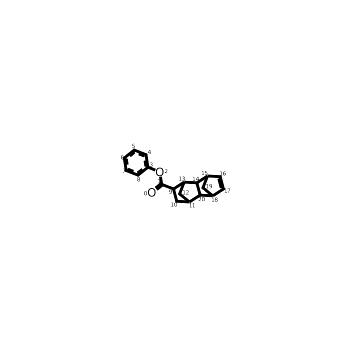 O=C(Oc1ccccc1)C1CC2CC1C1C3C=CC(C3)C21